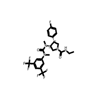 CCNC(=O)N1C[C@@H](N(C)C(=O)N(C)c2cc(C(F)(F)F)cc(C(F)(F)F)c2)[C@H](c2ccc(F)cc2)C1